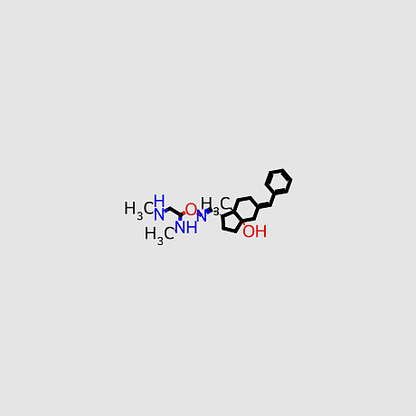 CNCC(NC)ON=C[C@H]1CC[C@]2(O)C/C(=C/c3ccccc3)CC[C@]12C